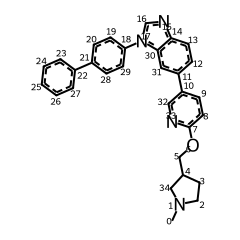 CN1CCC(COc2ccc(-c3ccc4ncn(-c5ccc(-c6ccccc6)cc5)c4c3)cn2)C1